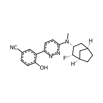 CN(c1ccc(-c2cc(C#N)ccc2O)nn1)[C@@H]1C[C@H]2CC[C@H](C2)[C@@H]1F